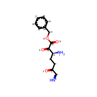 N=CC(=O)CC[C@H](N)C(=O)C(=O)OCc1ccccc1